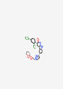 Cn1c(=O)c(-c2ccc(Cl)cc2Cl)cc2c3cc(-c4ccn(CCOC5CCCCO5)n4)ccc3n(C)c21